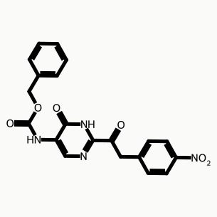 O=C(Nc1cnc(C(=O)Cc2ccc([N+](=O)[O-])cc2)[nH]c1=O)OCc1ccccc1